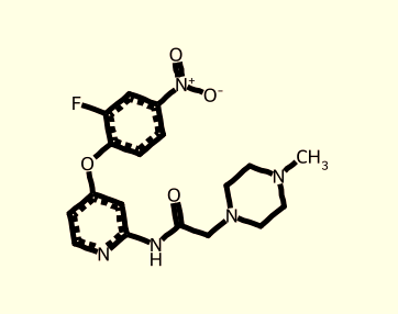 CN1CCN(CC(=O)Nc2cc(Oc3ccc([N+](=O)[O-])cc3F)ccn2)CC1